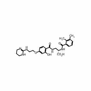 Cc1cccc(C(=O)N[C@@H](CNC(=O)c2ccc(OCCNC3=NCCCN3)cc2O)C(=O)O)c1C